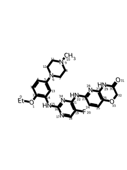 CCOc1ccc(N2CCN(C)CC2)cc1Nc1ncc(F)c(Nc2ccc3c(n2)NC(=O)CO3)n1